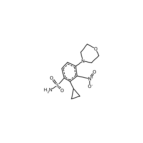 NS(=O)(=O)c1ccc(N2CCOCC2)c([N+](=O)[O-])c1C1CC1